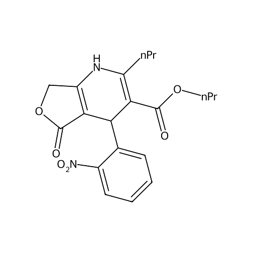 CCCOC(=O)C1=C(CCC)NC2=C(C(=O)OC2)C1c1ccccc1[N+](=O)[O-]